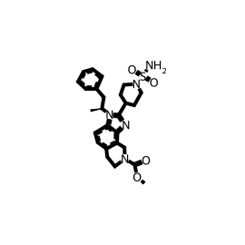 COC(=O)N1CCc2ccc3c(nc(C4CCN(S(N)(=O)=O)CC4)n3[C@@H](C)Cc3ccccc3)c2C1